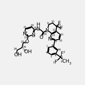 CC(F)(F)c1cccc(-c2ccc3c(n2)N(C(=O)Nc2ccnc(OC[C@H](O)CO)n2)CCC3(F)F)c1